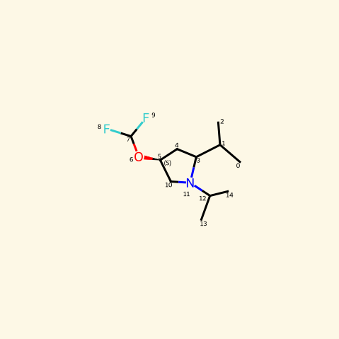 CC(C)C1C[C@H](OC(F)F)CN1C(C)C